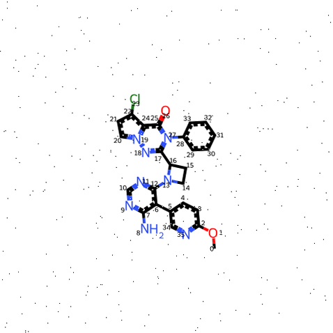 COc1ccc(-c2c(N)ncnc2N2CCC2c2nn3ccc(Cl)c3c(=O)n2-c2ccccc2)cn1